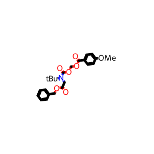 COc1ccc(C(=O)OCOC(=O)N(CC(=O)OCc2ccccc2)C(C)(C)C)cc1